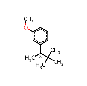 COc1cccc([C@H](C)C(C)(C)C)c1